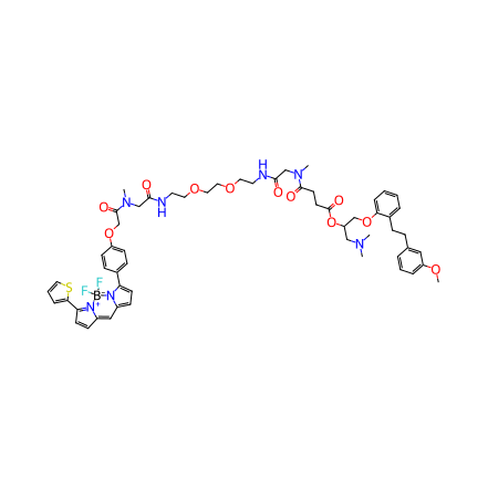 COc1cccc(CCc2ccccc2OCC(CN(C)C)OC(=O)CCC(=O)N(C)CC(=O)NCCOCCOCCNC(=O)CN(C)C(=O)COc2ccc(-c3ccc4n3[B-](F)(F)[N+]3=C(c5cccs5)C=CC3=C4)cc2)c1